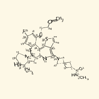 CNC(=O)C1CC2(C1)CN(c1nc(-c3cc4n(n3)CCNC4C)c(-c3c(F)cc(F)cc3OCCOC)c3sccc13)C2